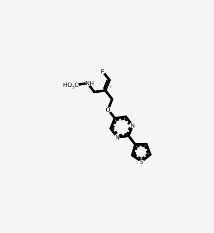 O=C(O)NC/C(=C\F)COc1cnc(-c2ccsc2)nc1